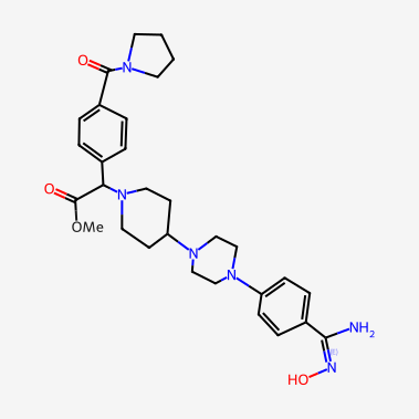 COC(=O)C(c1ccc(C(=O)N2CCCC2)cc1)N1CCC(N2CCN(c3ccc(/C(N)=N\O)cc3)CC2)CC1